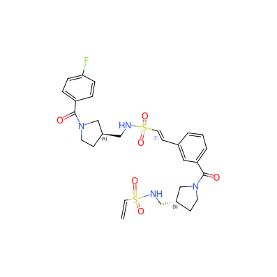 C=CS(=O)(=O)NC[C@H]1CCN(C(=O)c2cccc(/C=C/S(=O)(=O)NC[C@H]3CCN(C(=O)c4ccc(F)cc4)C3)c2)C1